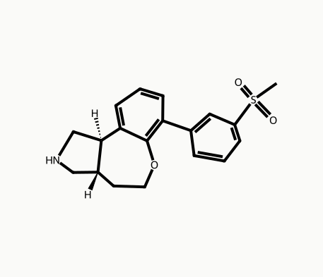 CS(=O)(=O)c1cccc(-c2cccc3c2OCC[C@@H]2CNC[C@@H]32)c1